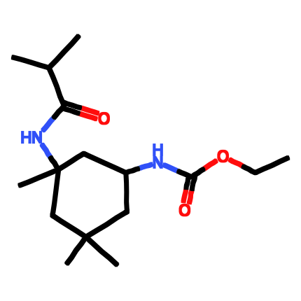 CCOC(=O)NC1CC(C)(C)CC(C)(NC(=O)C(C)C)C1